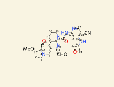 CO[C@H]1CCN(Cc2cc3c(nc2C=O)N(C(=O)Nc2cc(NC4COC4)c(C#N)cn2)CCC3)C1=C=O